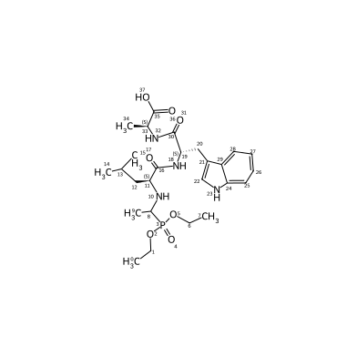 CCOP(=O)(OCC)C(C)N[C@@H](CC(C)C)C(=O)N[C@@H](Cc1c[nH]c2ccccc12)C(=O)N[C@@H](C)C(=O)O